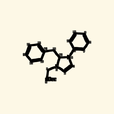 CCCCCCCCCCCN1C=CN(c2ccccc2)C1Cc1ccccc1